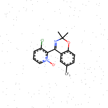 CC1(C)N=C(c2c(Cl)ccc[n+]2[O-])c2cc(C(F)(F)F)ccc2O1